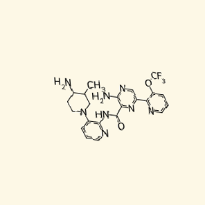 CC1CN(c2cccnc2NC(=O)c2nc(-c3ncccc3OC(F)(F)F)cnc2N)CCC1N